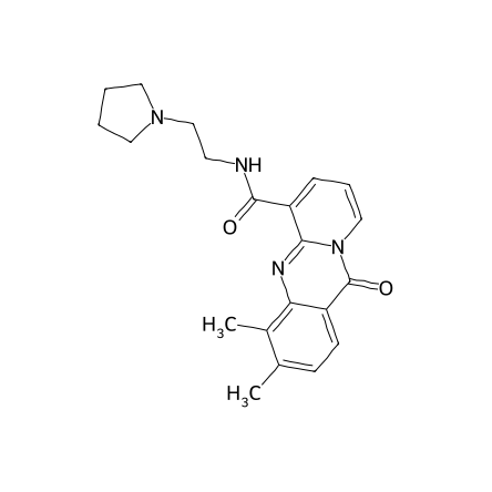 Cc1ccc2c(=O)n3cccc(C(=O)NCCN4CCCC4)c3nc2c1C